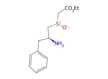 CCOC(=O)C[S+]([O-])C[C@@H](N)Cc1ccccc1